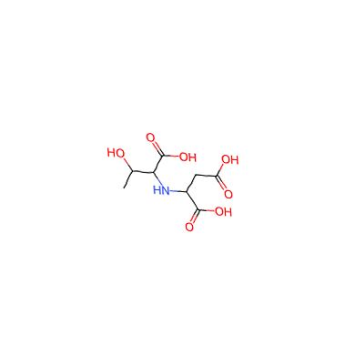 CC(O)C(NC(CC(=O)O)C(=O)O)C(=O)O